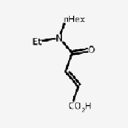 CCCCCCN(CC)C(=O)C=CC(=O)O